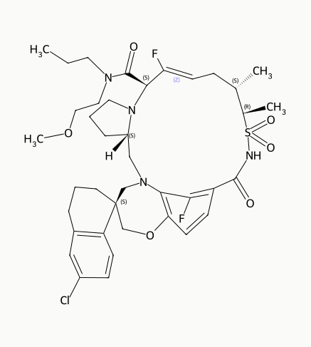 CCCN(CCOC)C(=O)[C@H]1/C(F)=C/C[C@H](C)[C@@H](C)S(=O)(=O)NC(=O)c2ccc3c(c2F)N(C[C@@H]2CCCN21)C[C@@]1(CCCc2cc(Cl)ccc21)CO3